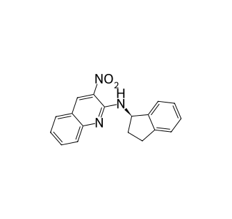 O=[N+]([O-])c1cc2ccccc2nc1N[C@@H]1CCc2ccccc21